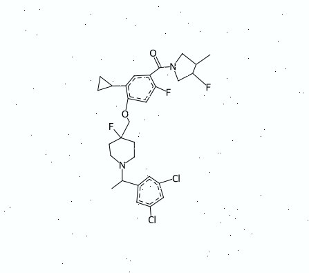 CC1CN(C(=O)c2cc(C3CC3)c(OCC3(F)CCN(C(C)c4cc(Cl)cc(Cl)c4)CC3)cc2F)CC1F